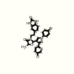 CC1OC(c2cn(-c3ccc(Br)cc3)nc2-c2ccc(Cl)cn2)N(CCc2ccc3[nH]c(=O)[nH]c3c2)C1=O